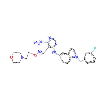 Nc1ncnc(Nc2ccc3c(ccn3Cc3cccc(F)c3)c2)c1/C=N/OCCN1CCOCC1